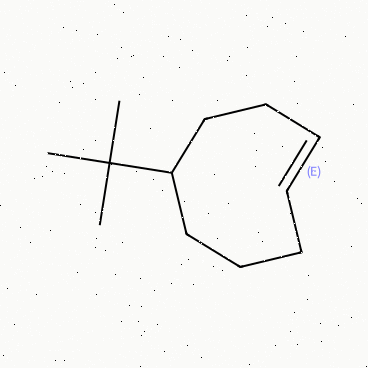 CC(C)(C)C1CC/C=C/CCC1